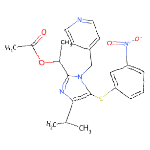 CC(=O)OC(C)c1nc(C(C)C)c(Sc2cccc([N+](=O)[O-])c2)n1Cc1ccncc1